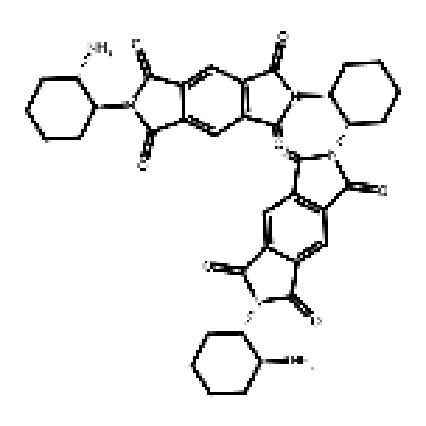 N[C@H]1CCCC[C@@H]1n1c(=O)c2cc3c(=O)n([C@H]4CCCC[C@@H]4n4c(=O)c5cc6c(=O)n([C@H]7CCCC[C@@H]7N)c(=O)c6cc5c4=O)c(=O)c3cc2c1=O